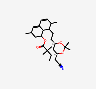 CCC(C)(C)C(=O)OC1CC(C)C=C2C=CC(C)C(CC[C@@H]3C[C@H](CC#N)OC(C)(C)O3)C21